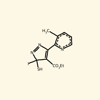 CCOC(=O)C1=C(c2ncccc2C)N=NC1(S)I